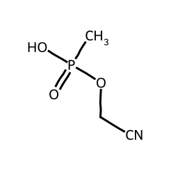 CP(=O)(O)OCC#N